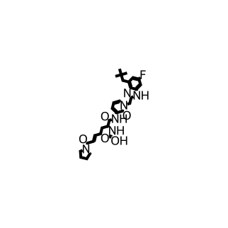 CC(C)(C)Cc1cc(F)cc2[nH]c(Cn3cccc(NC(=O)C(CCC=CC(=O)N4CCCC4)NC(=O)O)c3=O)nc12